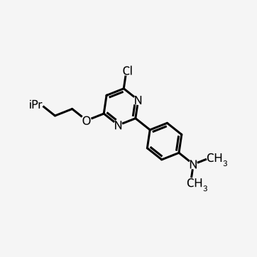 CC(C)CCOc1cc(Cl)nc(-c2ccc(N(C)C)cc2)n1